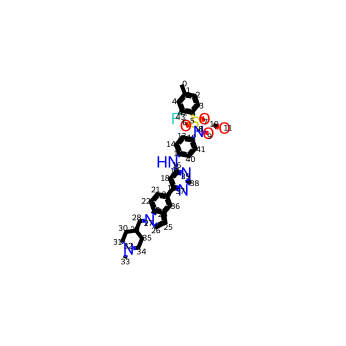 Cc1ccc(S(=O)(=O)N(OC=O)c2ccc(Nc3cc(-c4ccc5c(ccn5CC5CCN(C)CC5)c4)ncn3)cc2)c(F)c1